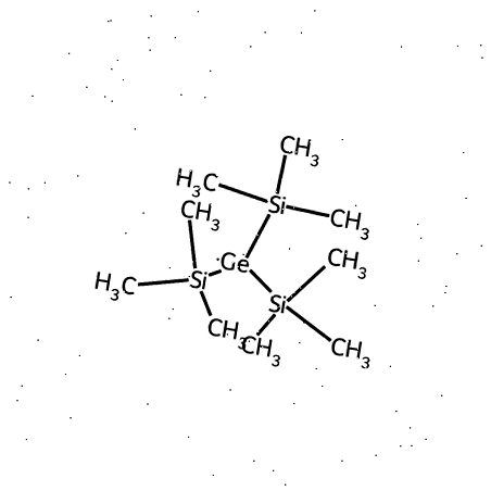 C[Si](C)(C)[Ge]([Si](C)(C)C)[Si](C)(C)C